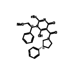 CCCCc1nc(=O)c(C(=O)N2CC[C@H](c3ccccc3)C2)c(O)n1[C@H](COC)c1ccccc1